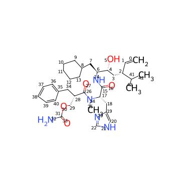 C=C[C@@H](C[C@@H](O)[C@H](CC1CCCCC1)NC(=O)[C@H](Cc1c[nH]cn1)N(C)C(=O)[C@H](COC(N)=O)Cc1ccccc1)C(C)C